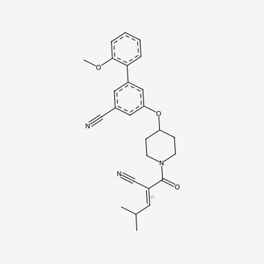 COc1ccccc1-c1cc(C#N)cc(OC2CCN(C(=O)/C(C#N)=C/C(C)C)CC2)c1